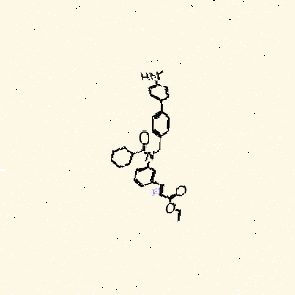 CCOC(=O)/C=C/c1cccc(N(Cc2ccc(-c3ccc(NC)cc3)cc2)C(=O)C2CCCCC2)c1